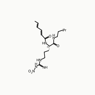 CC=CC=CC(=O)N[C@@H](CCCNC(=N)N[N+](=O)[O-])C(=O)NCCC(C)C